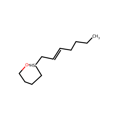 CCCCC=CC[SiH]1CCCCO1